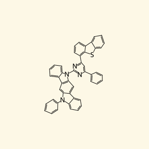 c1ccc(-c2cc(-c3cccc4c3sc3ccccc34)nc(-n3c4ccccc4c4cc5c(cc43)c3ccccc3n5-c3ccccc3)n2)cc1